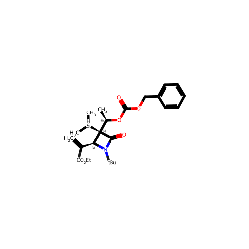 C=C(C(=O)OCC)[C@@H]1N(C(C)(C)C)C(=O)[C@]1([C@@H](C)OC(=O)OCc1ccccc1)[SiH](C)C